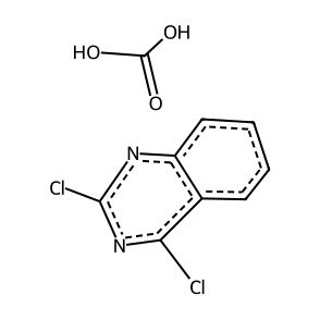 Clc1nc(Cl)c2ccccc2n1.O=C(O)O